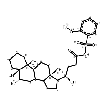 CC[C@H]1CC2C3CC[C@H]([C@H](C)CCC(=O)NS(=O)(=O)c4ccccc4OC(F)(F)F)[C@@]3(C)CCC2[C@@]2(C)CCCC[C@@H]12